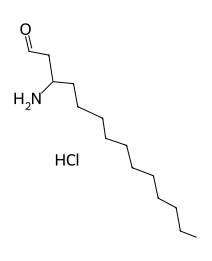 CCCCCCCCCCCC(N)CC=O.Cl